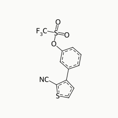 N#Cc1sccc1-c1cccc(OS(=O)(=O)C(F)(F)F)c1